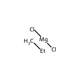 CCC.[Cl][Mg][Cl]